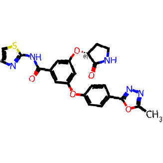 Cc1nnc(-c2ccc(Oc3cc(O[C@@H]4CCNC4=O)cc(C(=O)Nc4nccs4)c3)cc2)o1